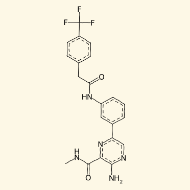 CNC(=O)c1nc(-c2cccc(NC(=O)Cc3ccc(C(F)(F)F)cc3)c2)cnc1N